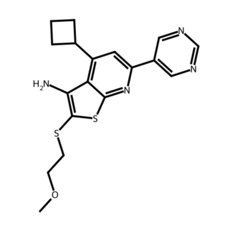 COCCSc1sc2nc(-c3cncnc3)cc(C3CCC3)c2c1N